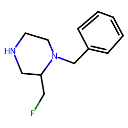 FCC1CNCCN1Cc1ccccc1